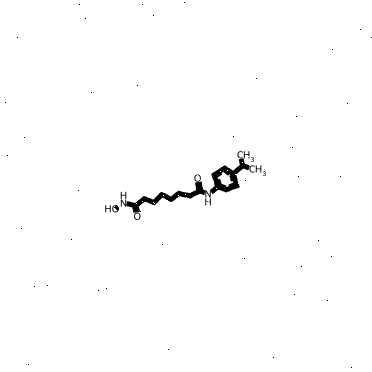 CC(C)c1ccc(NC(=O)CCCCCCC(=O)NO)cc1